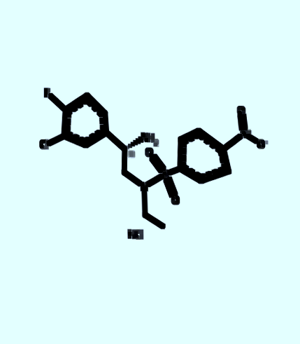 CCN(C[C@@H](N)c1ccc(F)c(Cl)c1)S(=O)(=O)c1ccc([N+](=O)[O-])cc1.Cl